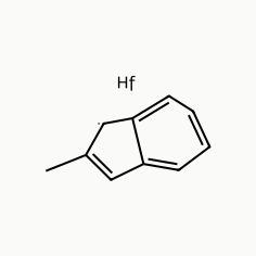 CC1=Cc2ccccc2[CH]1.[Hf]